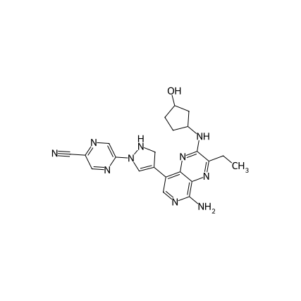 CCc1nc2c(N)ncc(C3=CN(c4cnc(C#N)cn4)NC3)c2nc1NC1CCC(O)C1